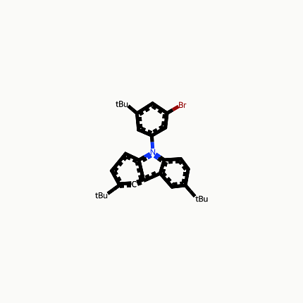 CC(C)(C)c1cc(Br)cc(-n2c3ccc(C(C)(C)C)cc3c3cc(C(C)(C)C)ccc32)c1